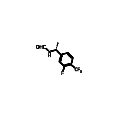 C[C@@H](NC=O)c1ccc(C(F)(F)F)c(F)c1